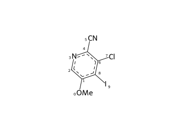 COc1cnc(C#N)c(Cl)c1I